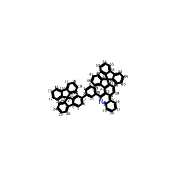 c1cc(-c2ccc3c(c2)C2(c4ccccc4-c4ccccc42)c2ccccc2-3)cc(-c2nc3ccccc3c3ccc4c(c23)-c2ccccc2C42c3ccccc3-c3ccccc32)c1